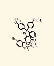 COc1ccc(C(NC2=NC(C)(c3cc(Br)ccc3F)C(C)(C)C(=O)N2C)(c2ccccc2)c2ccc(OC)cc2)cc1